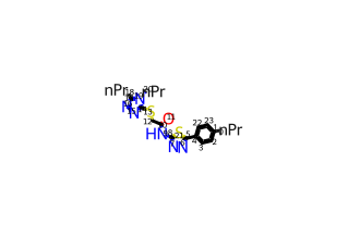 CCCc1ccc(-c2nnc(NC(=O)CSc3nnc(CCC)n3CCC)s2)cc1